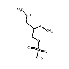 CNCC(COS(C)(=O)=O)OC